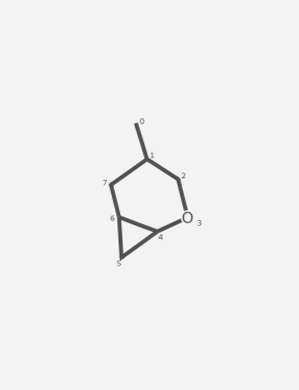 CC1COC2CC2C1